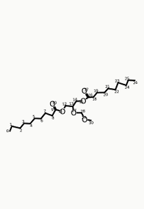 CCCCCCCCCC(=O)OCC(COC(=O)CCCCCCCCC)OCOC